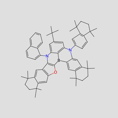 CC(C)(C)c1cc2c3c(c1)N(c1cccc4ccccc14)c1c(oc4cc5c(cc14)C(C)(C)CCC5(C)C)B3c1cc3c(cc1N2c1ccc2c(c1)C(C)(C)CCC2(C)C)C(C)(C)CCC3(C)C